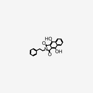 O=C1c2c(c(O)c3ccccc3c2O)C(=O)N1CCc1ccccc1